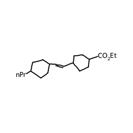 CCCC1CCC(C=CC2CCC(C(=O)OCC)CC2)CC1